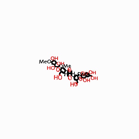 COc1cc(C(O)C(CO)Oc2c(CO)cc([C@H]3OC[C@H]4[C@@H]3CO[C@@H]4c3cc(CO)c(OC(CO)C(O)c4ccc(O)c(CO)c4)c(OC)c3)cc2OC)ccc1O